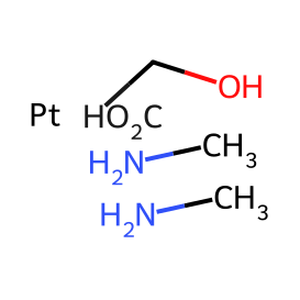 CN.CN.O=C(O)CO.[Pt]